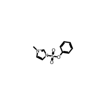 C[n+]1ccn(S(=O)(=O)Oc2ccccc2)c1